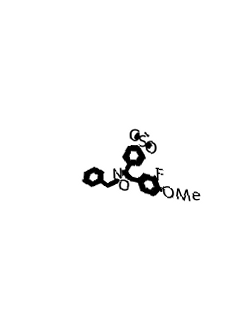 COc1ccc(-c2oc(Cc3ccccc3)nc2-c2ccc(S(C)(=O)=O)cc2)cc1F